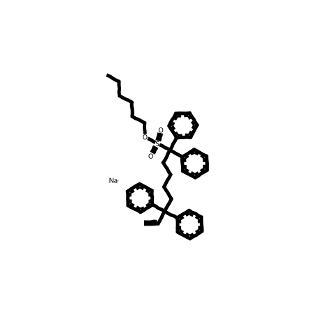 C=CC(CCCCC(c1ccccc1)(c1ccccc1)S(=O)(=O)OCCCCCC)(c1ccccc1)c1ccccc1.[Na]